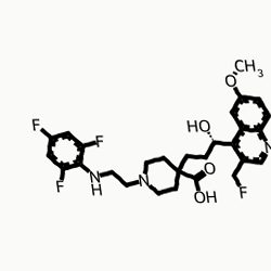 COc1ccc2ncc(CF)c([C@@H](O)CCC3(C(=O)O)CCN(CCNc4c(F)cc(F)cc4F)CC3)c2c1